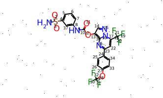 NS(=O)(=O)c1cccc(NC(=O)Oc2cnn3c(C(F)(F)F)cc(-c4ccc(OC(F)(F)F)cc4)nc23)c1